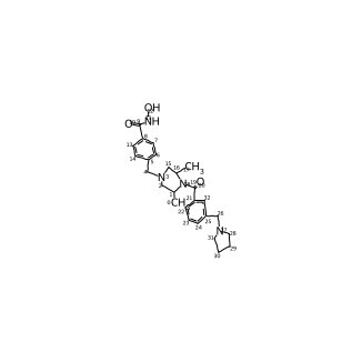 CC1CN(Cc2ccc(C(=O)NO)cc2)CC(C)N1C(=O)c1cccc(CN2CCCC2)c1